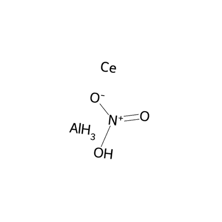 O=[N+]([O-])O.[AlH3].[Ce]